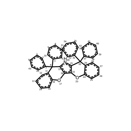 c1ccc(C2(c3ccccc3)c3ccccc3Oc3c2[nH]c2c3Oc3ccccc3C2(c2ccccc2)c2ccccc2)cc1